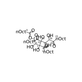 CCCCCCCCC(=O)OCC(O)C(O)(C(=O)CCCCCCCC)C(O)(C(=O)CCCCCCCC)C(O)C(O)C(=O)CCCCCCCC